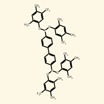 Cc1cc(C)c(C(F)(F)F)cc1OP(Oc1cc(C(F)(F)F)c(C)cc1C)c1ccc(-c2ccc(P(Oc3cc(C(F)(F)F)c(C)cc3C)Oc3cc(C(F)(F)F)c(C)cc3C)cc2)cc1